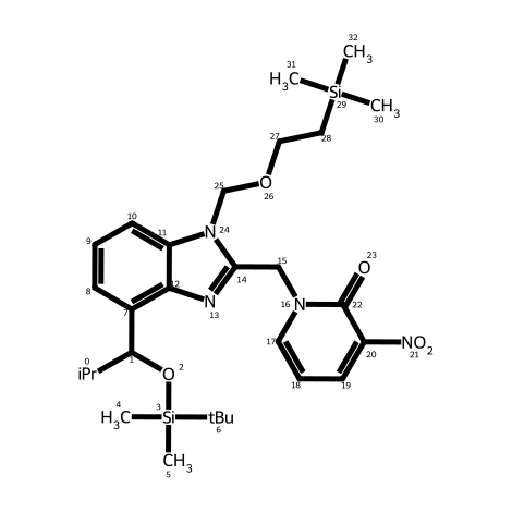 CC(C)C(O[Si](C)(C)C(C)(C)C)c1cccc2c1nc(Cn1cccc([N+](=O)[O-])c1=O)n2COCC[Si](C)(C)C